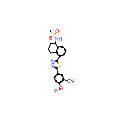 CC(C)Oc1ccc(-c2nnc(-c3cccc4c3CCCC4NS(C)(=O)=O)s2)cc1C#N